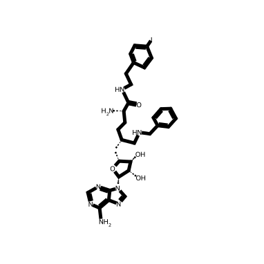 Nc1ncnc2c1ncn2[C@@H]1O[C@H](C[C@H](CC[C@H](N)C(=O)NCCc2ccc(I)cc2)CNCc2ccccc2)[C@H](O)[C@@H]1O